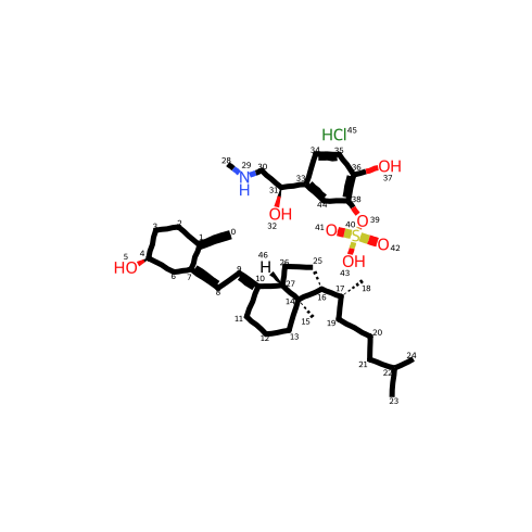 C=C1CC[C@H](O)C/C1=C/C=C1\CCC[C@]2(C)[C@@H]([C@H](C)CCCC(C)C)CC[C@@H]12.CNC[C@H](O)c1ccc(O)c(OS(=O)(=O)O)c1.Cl